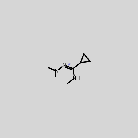 CN/N=C(\NC)C1CC1